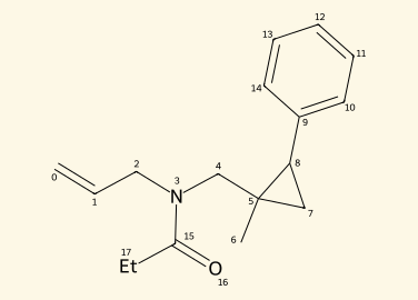 C=CCN(CC1(C)CC1c1ccccc1)C(=O)CC